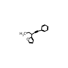 CCC(C#Cc1ccccc1)c1ccco1